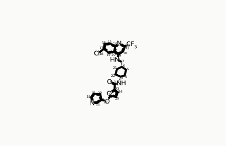 O=C(N[C@H]1CC[C@@H](CNc2cc(C(F)(F)F)nc3ccc(Cl)cc23)CC1)c1ccc(Oc2cccnc2)o1